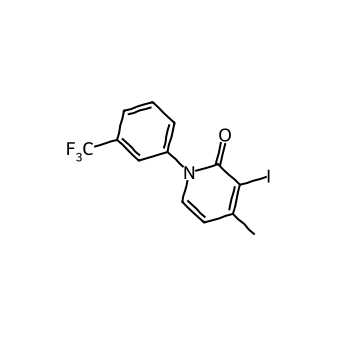 Cc1ccn(-c2cccc(C(F)(F)F)c2)c(=O)c1I